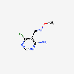 CON=Cc1c(N)ncnc1Cl